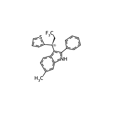 Cc1ccc2c([C@H](CC(F)(F)F)c3cccs3)c(-c3ccccc3)[nH]c2c1